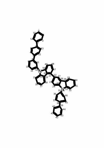 c1ccc(-c2ccc(-c3cccc(-n4c5ccccc5c5c(-c6ccc7c(c6)c6ccccc6n7-c6ccc(-c7ccccc7)cc6)cccc54)c3)cc2)cc1